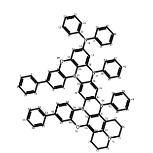 c1ccc(-c2ccc3c(c2)Oc2cc(N(c4ccccc4)c4ccccc4)cc4c2B3c2cc3c(cc2N4c2ccccc2)N(c2ccccc2)c2c4c5c(c6c2B3c2ccc(-c3ccccc3)cc2O6)CCCN5CCC4)cc1